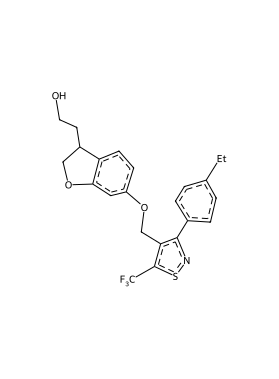 CCc1ccc(-c2nsc(C(F)(F)F)c2COc2ccc3c(c2)OCC3CCO)cc1